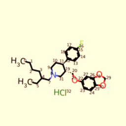 CCCCC(CC)CN1CC[C@@H](c2ccc(F)cc2)[C@H](COc2ccc3c(c2)OCO3)C1.Cl